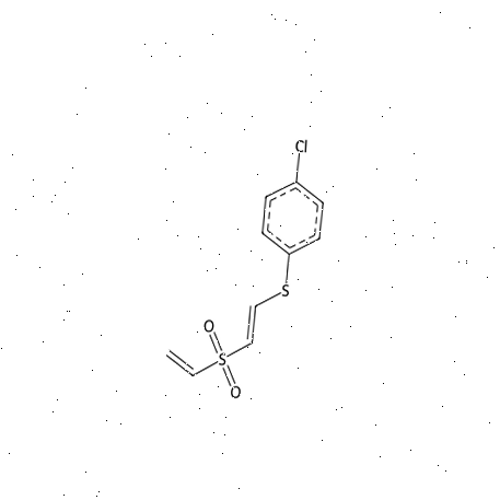 C=CS(=O)(=O)C=CSc1ccc(Cl)cc1